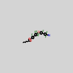 CCCCCC1COC(c2ccc(-c3cc(F)c(C(F)(F)Oc4ccc(-c5cc(F)c(C#N)c(F)c5)c(F)c4)c(F)c3)c(F)c2)OC1